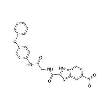 O=C(CNC(=O)c1nc2cc([N+](=O)[O-])ccc2[nH]1)Nc1ccc(Oc2ccccc2)cc1